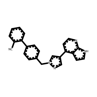 N#Cc1ccccc1-c1ccc(Cn2cc(-c3ccnc4[nH]ccc34)cn2)cc1